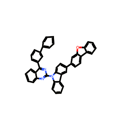 c1ccc(-c2cccc(-c3nc(-n4c5ccccc5c5cc(-c6ccc7c(c6)oc6ccccc67)ccc54)nc4ccccc34)c2)cc1